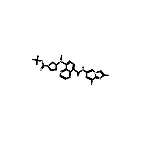 Cc1cn2cc(NC(=O)c3ccc(N(C)C4CCN(C(=O)OC(C)(C)C)C4)c4nccnc34)cc(F)c2n1